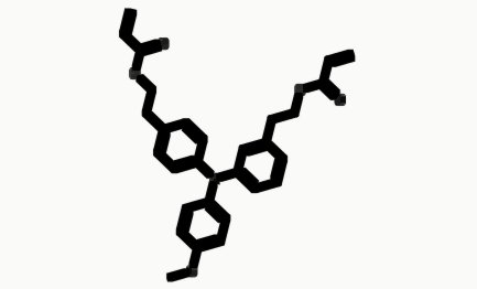 C=CC(=O)OCCc1ccc(N(c2ccc(OC)cc2)c2cccc(CCOC(=O)C=C)c2)cc1